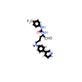 CN(CCCC(C=O)NC(=O)Nc1ccc(C(F)(F)F)cc1)c1ccc(-c2cccnc2)cc1